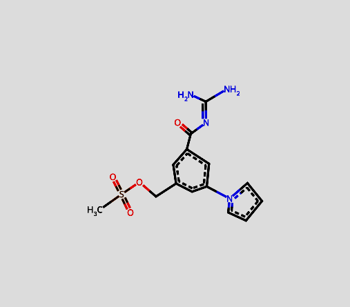 CS(=O)(=O)OCc1cc(C(=O)N=C(N)N)cc(-n2cccc2)c1